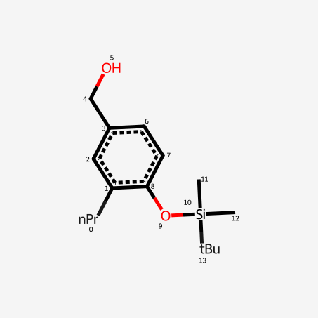 CCCc1cc(CO)ccc1O[Si](C)(C)C(C)(C)C